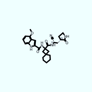 COc1cccc2[nH]c(C(=O)NC3(C(=O)N[C@H](C#N)C[C@@H]4CCNC4=O)CC4(CCCCC4)C3)cc12